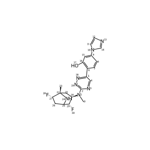 CN(c1ncc(-c2ccc(-n3ccnc3)cc2O)nn1)[C@@H]1C[C@]2(C)NC(C[C@@H]2F)[C@H]1F